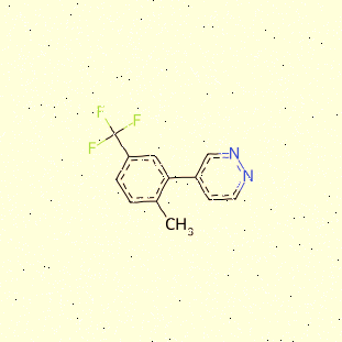 Cc1ccc(C(F)(F)F)cc1-c1ccnnc1